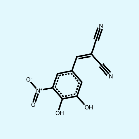 N#CC(C#N)=Cc1cc(O)c(O)c([N+](=O)[O-])c1